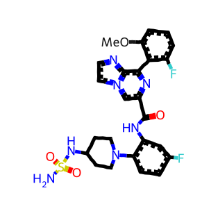 COc1cccc(F)c1-c1nc(C(=O)Nc2cc(F)ccc2N2CCC(NS(N)(=O)=O)CC2)cn2ccnc12